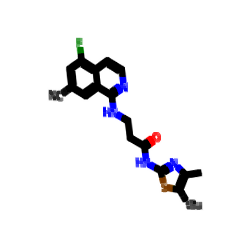 Cc1nc(NC(=O)CCNc2nccc3c(F)cc(C#N)cc23)sc1C(C)(C)C